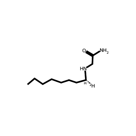 [2H][C@H](CCCCCCC)NCC(N)=O